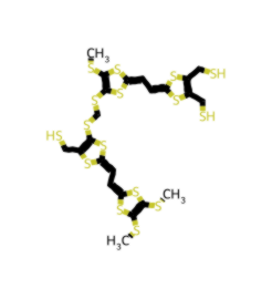 CSC1=C(SC)SC(=CC=C2SC(CS)=C(SCSC3=C(SC)SC(=CC=C4SC(CS)=C(CS)S4)S3)S2)S1